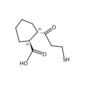 O=C(O)[C@H]1CCCC[C@@H]1C(=O)CCS